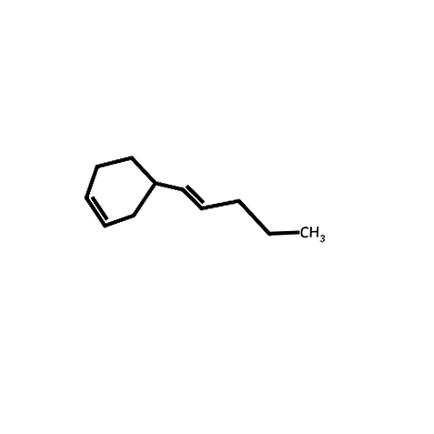 CCCC=CC1CC=CCC1